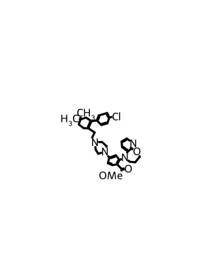 COC(=O)c1ccc(N2CCN(CCC3=C(c4ccc(Cl)cc4)CC(C)(C)CC3)CC2)cc1N1CCCOc2ncccc21